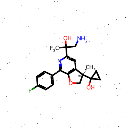 C[C@]1(C2(O)CC2)COc2c1cc(C(O)(CN)C(F)(F)F)nc2-c1ccc(F)cc1